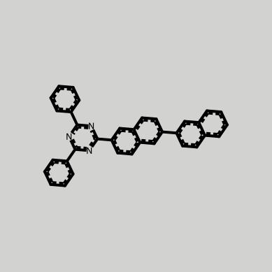 c1ccc(-c2nc(-c3ccccc3)nc(-c3ccc4cc(-c5ccc6ccccc6c5)ccc4c3)n2)cc1